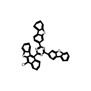 Clc1c2ccccc2c(-c2nc(-c3ccc4c(c3)oc3ccccc34)nc(-c3ccc4c(c3)sc3ccccc34)n2)c2c1sc1ccccc12